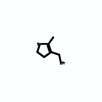 CCCCC1=C(C)[Se]CC1